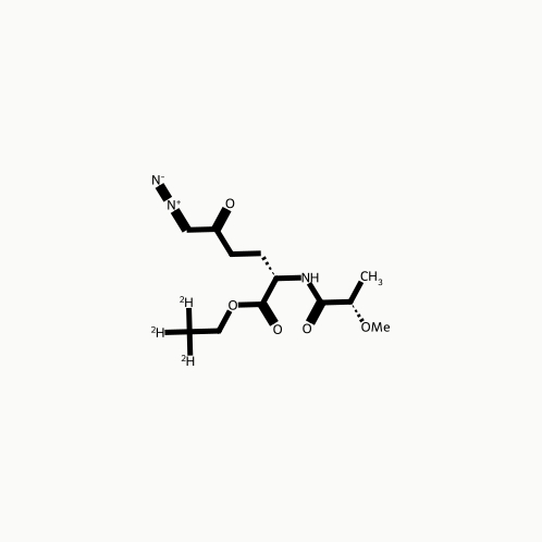 [2H]C([2H])([2H])COC(=O)[C@H](CCC(=O)C=[N+]=[N-])NC(=O)[C@H](C)OC